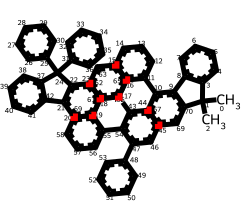 CC1(C)c2ccccc2-c2c(-c3ccccc3N(c3ccc4c(c3)C(c3ccccc3)(c3ccccc3)c3ccccc3-4)c3cccc(-c4ccccc4)c3-c3ccccc3-c3ccccc3)cccc21